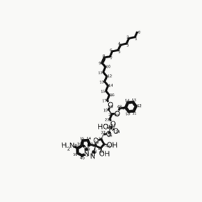 CCCCCCCC/C=C\CCCCCCCCOC[C@H](COP(=O)(O)OC[C@H]1O[C@@](C#N)(c2ccc3c(N)ccnn23)[C@H](O)[C@@H]1O)OCc1ccccc1